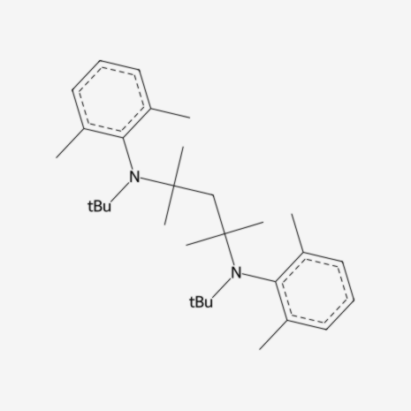 Cc1cccc(C)c1N(C(C)(C)C)C(C)(C)CC(C)(C)N(c1c(C)cccc1C)C(C)(C)C